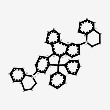 c1ccc(C2(c3ccccc3)c3cc(N4CCCc5ccccc54)ccc3-c3c2c2ccc(N4CCCc5ccccc54)cc2c2ccccc32)cc1